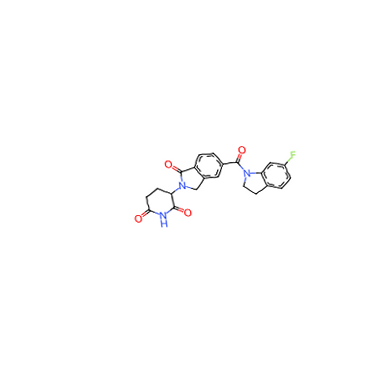 O=C1CCC(N2Cc3cc(C(=O)N4CCc5ccc(F)cc54)ccc3C2=O)C(=O)N1